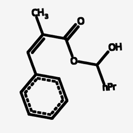 CCCC(O)OC(=O)C(C)=Cc1ccccc1